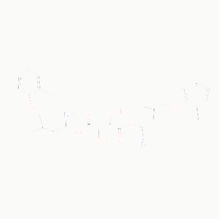 Cc1cccc(C)c1OCC(C)CC(N)OC(=O)C(O)C(O)C(=O)OC(N)CC(C)COc1c(C)cccc1C